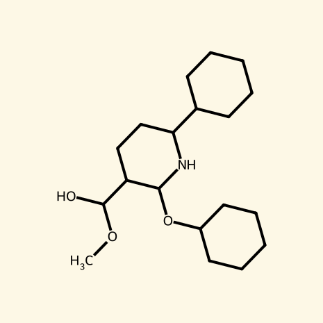 COC(O)C1CCC(C2CCCCC2)NC1OC1CCCCC1